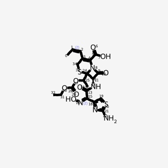 C/C=C\C1=C(C(=O)O)N2C(=O)[C@@H](NC(=O)/C(=N\O)c3csc(N)n3)C2(C(C)OC(=O)OCC)SC1